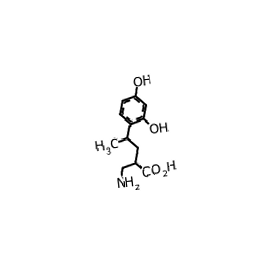 CC(CC(CN)C(=O)O)c1ccc(O)cc1O